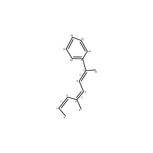 C\C=C/C(C)=C\C=C(/C)c1ccccc1